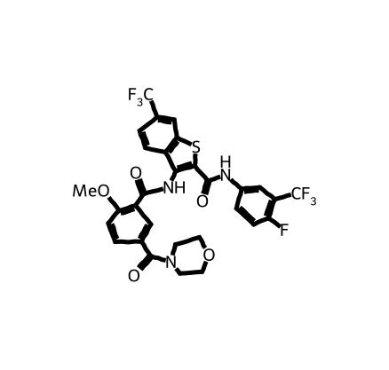 COc1ccc(C(=O)N2CCOCC2)cc1C(=O)Nc1c(C(=O)Nc2ccc(F)c(C(F)(F)F)c2)sc2cc(C(F)(F)F)ccc12